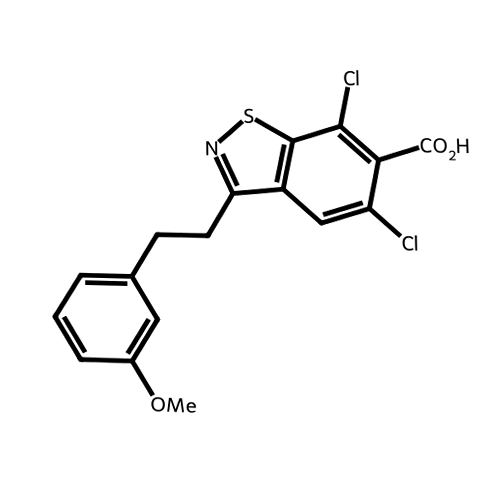 COc1cccc(CCc2nsc3c(Cl)c(C(=O)O)c(Cl)cc23)c1